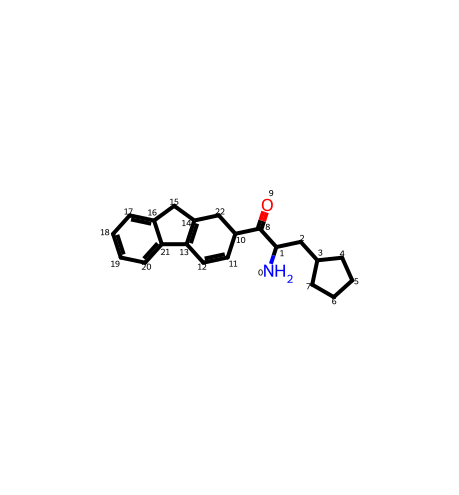 NC(CC1CCCC1)C(=O)C1C=CC2=C(Cc3ccccc32)C1